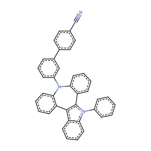 N#Cc1ccc(-c2cccc(N3c4ccccc4-c4c(n(-c5ccccc5)c5ccccc45)-c4ccccc43)c2)cc1